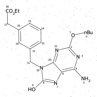 CCCCOc1nc(N)c2nc(O)n(Cc3cccc(CC(=O)OCC)c3)c2n1